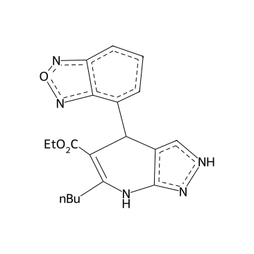 CCCCC1=C(C(=O)OCC)C(c2cccc3nonc23)c2c[nH]nc2N1